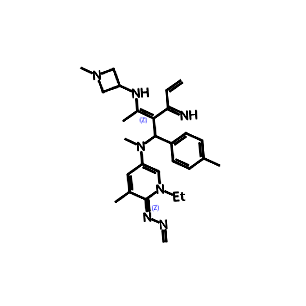 C=CC(=N)/C(=C(/C)NC1CN(C)C1)C(c1ccc(C)cc1)N(C)c1cc(C)/c(=N/N=C)n(CC)c1